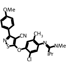 CNC(=Nc1cc(Cl)c(Oc2snc(-c3ccc(OC)cc3)c2C#N)cc1C)C(C)C